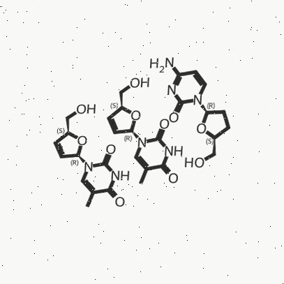 Cc1cn([C@H]2C=C[C@@H](CO)O2)c(=O)[nH]c1=O.Cc1cn([C@H]2C=C[C@@H](CO)O2)c(=O)[nH]c1=O.Nc1ccn([C@H]2CC[C@@H](CO)O2)c(=O)n1